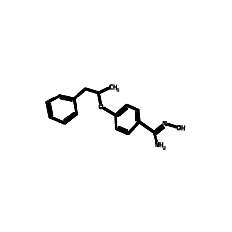 CC(Cc1ccccc1)Oc1ccc(C(N)=NO)cc1